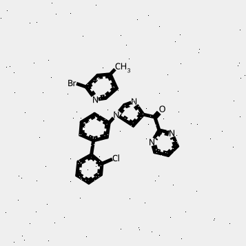 Cc1ccnc(Br)c1.O=C(c1cn(-c2cccc(-c3ccccc3Cl)c2)cn1)c1ncccn1